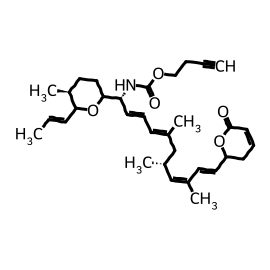 C#CCCOC(=O)N[C@H](/C=C/C=C(\C)C[C@@H](C)/C=C(C)\C=C\C1CC=CC(=O)O1)C1CC[C@H](C)C(/C=C/C)O1